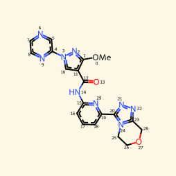 COc1nn(-c2cnccn2)cc1C(=O)Nc1cccc(-c2nnc3n2CCOC3)n1